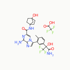 Cc1ccc(C(O)(C(N)=O)C(F)(F)F)cc1-c1cnc2c(N)nc(C(=O)NC34CCC(O)(CC3)C4)cn12.O=C(O)C(F)(F)F